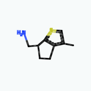 Cc1csc2c1CCC2CN